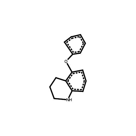 c1ccc(Oc2cccc3c2CCCN3)cc1